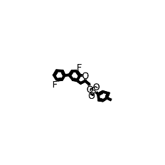 Cc1ccc(S(=O)(=O)OCC2Cc3cc(-c4cccc(F)c4)cc(F)c3O2)cc1